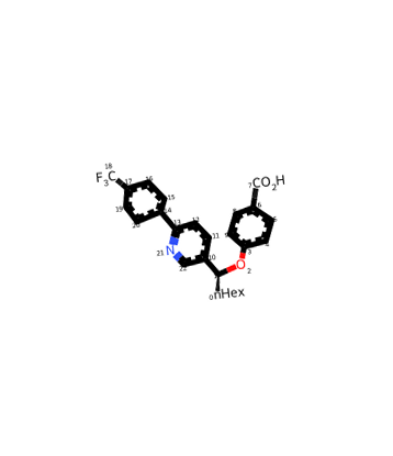 CCCCCC[C@H](Oc1ccc(C(=O)O)cc1)c1ccc(-c2ccc(C(F)(F)F)cc2)nc1